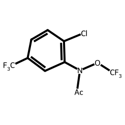 CC(=O)N(OC(F)(F)F)c1cc(C(F)(F)F)ccc1Cl